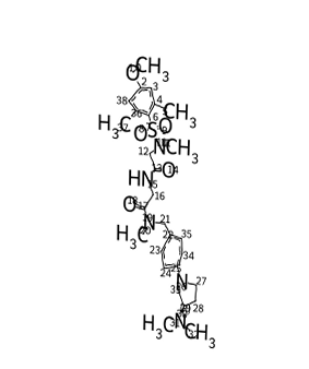 COc1cc(C)c(S(=O)(=O)N(C)CC(=O)NCC(=O)N(C)Cc2ccc(N3CC[C@@H](N(C)C)C3)cc2)c(C)c1